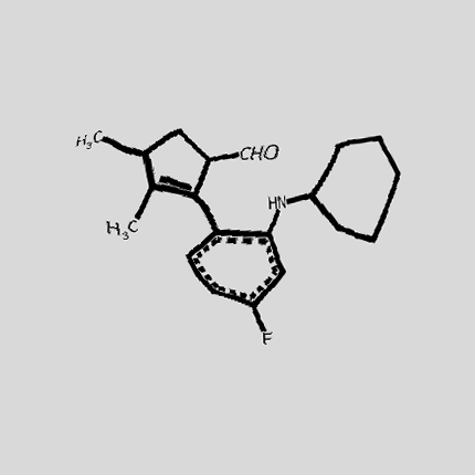 CC1=C(c2ccc(F)cc2NC2CCCCC2)C(C=O)CC1C